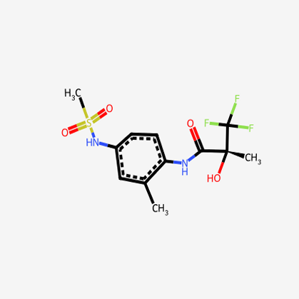 Cc1cc(NS(C)(=O)=O)ccc1NC(=O)[C@@](C)(O)C(F)(F)F